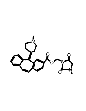 CN1CCC(=C2c3ccccc3C=Cc3ccc(C(=O)OCN4C(=O)CN(C)C4=O)cc32)CC1